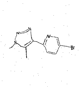 [CH2]c1c(-c2ccc(Br)cn2)nnn1C